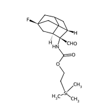 C[Si](C)(C)CCOC(=O)N[C@]1(C=O)[C@@H]2CC3C[C@H]1C[C@@](F)(C3)C2